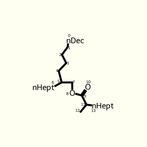 CCCCCCCCCCCCCCC(CCCCCCC)COC(=O)C(C)CCCCCCC